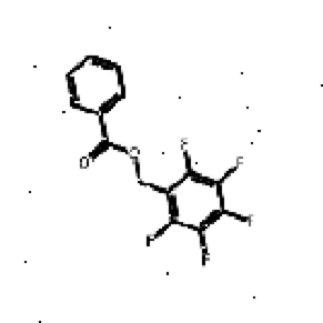 O=C(OCc1c(F)c(F)c(F)c(F)c1F)c1ccccc1